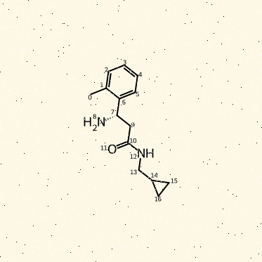 Cc1ccccc1[C@@H](N)CC(=O)NCC1CC1